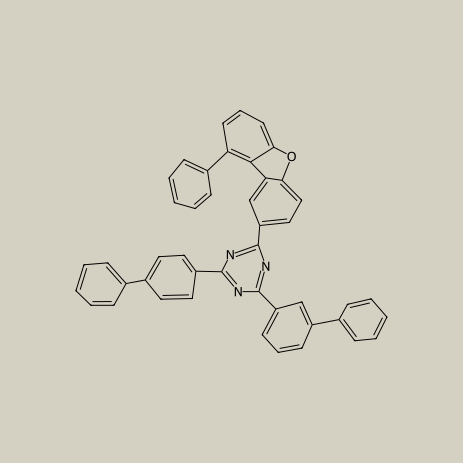 c1ccc(-c2ccc(-c3nc(-c4cccc(-c5ccccc5)c4)nc(-c4ccc5oc6cccc(-c7ccccc7)c6c5c4)n3)cc2)cc1